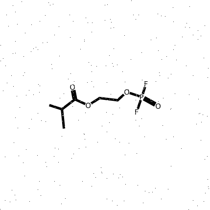 CC(C)C(=O)OCCOP(=O)(F)F